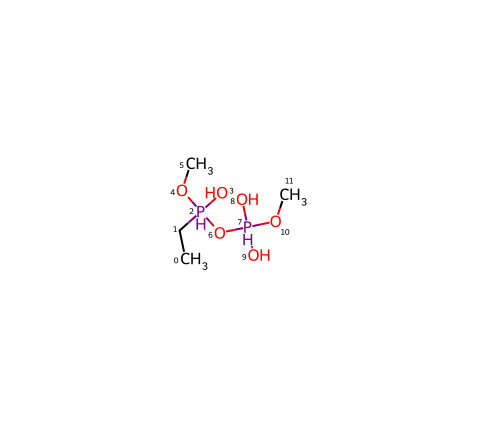 CC[PH](O)(OC)O[PH](O)(O)OC